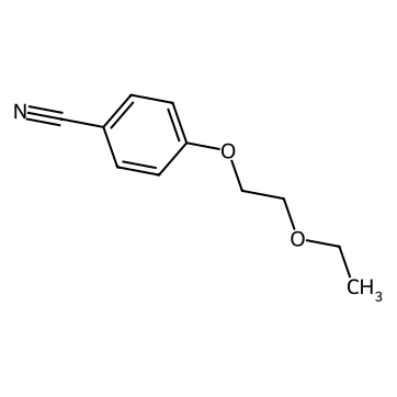 CCOCCOc1ccc(C#N)cc1